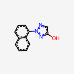 Oc1[c]nn(-c2cccc3ccccc23)n1